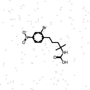 CC(C)(CCCc1ccc([N+](=O)[O-])cc1Br)NC(=O)O